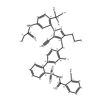 CCCc1nn(-c2cc(NC(=O)CC)ccc2C(F)(F)F)c(C#N)c1Cc1ccc(-c2ccccc2S(=O)(=O)NC(=O)c2ccccc2F)cc1F